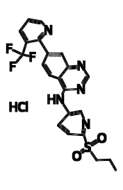 CCCS(=O)(=O)c1ccc(Nc2ncnc3cc(-c4ncccc4C(F)(F)F)ccc23)cn1.Cl